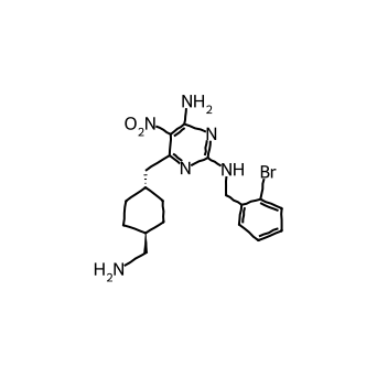 NC[C@H]1CC[C@H](Cc2nc(NCc3ccccc3Br)nc(N)c2[N+](=O)[O-])CC1